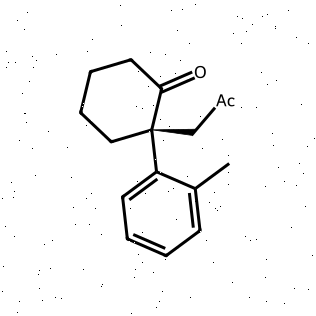 CC(=O)C[C@@]1(c2ccccc2C)CCCCC1=O